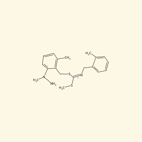 CS/C(=N/Cc1ccccc1C)SCc1c(C)cccc1N(C)N